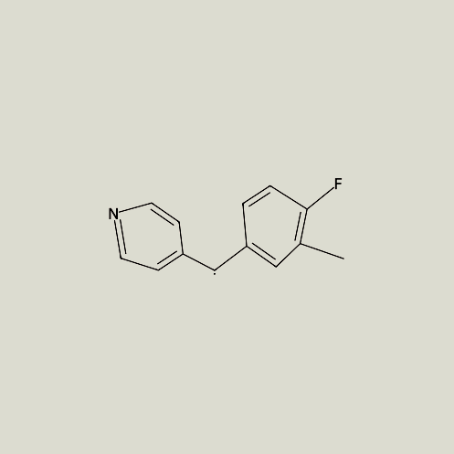 Cc1cc([CH]c2ccncc2)ccc1F